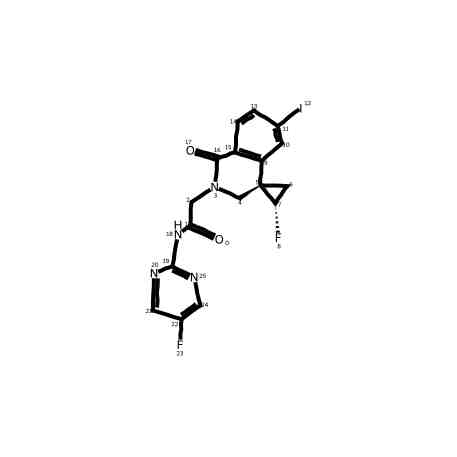 O=C(CN1C[C@]2(C[C@@H]2F)c2cc(I)ccc2C1=O)Nc1ncc(F)cn1